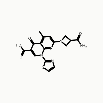 Cc1cc(N2CC(C(N)=O)C2)nc2c1c(=O)c(C(=O)O)cn2-c1nccs1